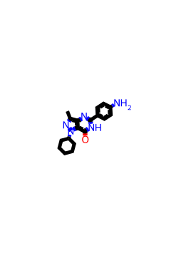 Cc1nn(C2CCCCC2)c2c(=O)[nH]c(-c3ccc(N)cc3)nc12